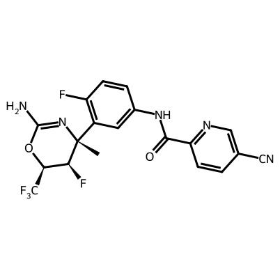 C[C@]1(c2cc(NC(=O)c3ccc(C#N)cn3)ccc2F)N=C(N)O[C@H](C(F)(F)F)[C@@H]1F